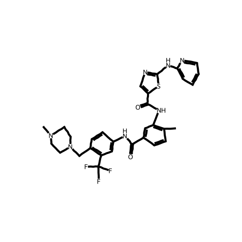 Cc1ccc(C(=O)Nc2ccc(CN3CCN(C)CC3)c(C(F)(F)F)c2)cc1NC(=O)c1cnc(Nc2ccccn2)s1